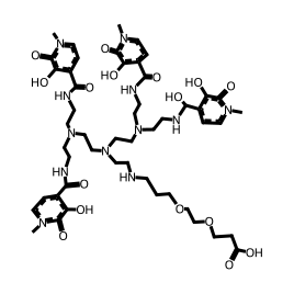 Cn1ccc(C(=O)NCCN(CCNC(=O)c2ccn(C)c(=O)c2O)CCN(CCNCCCOCCOCCC(=O)O)CCN(CCNC(=O)c2ccn(C)c(=O)c2O)CCNC(O)c2ccn(C)c(=O)c2O)c(O)c1=O